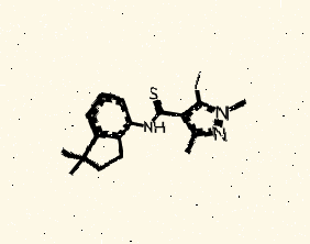 Cc1nn(C)c(I)c1C(=S)Nc1cccc2c1CCC2(C)C